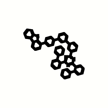 c1ccc(-c2ccccc2-c2nc(-c3cccc(-c4cccc(-c5ccc(-c6cccc7c6sc6ccccc67)cc5)c4)c3)nc(-c3ccccc3-c3ccccc3)n2)cc1